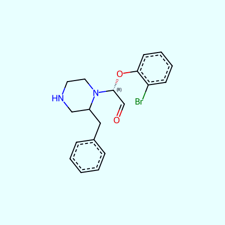 O=C[C@@H](Oc1ccccc1Br)N1CCNCC1Cc1ccccc1